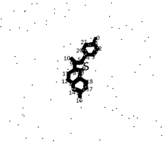 Cc1ccc(-c2sc3c(c2C)CCc2cc(C)ccc2-3)cc1